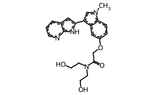 Cn1cc(-c2cc3cccnc3[nH]2)c2cc(OCC(=O)N(CCO)CCO)ccc21